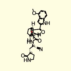 COc1cccc2[nH]c(C(=O)N3[C@@H]4CC[C@H]([C@H]3C(=O)N[C@H](C#N)C[C@@H]3CCNC3=O)C(F)(F)C4)cc12